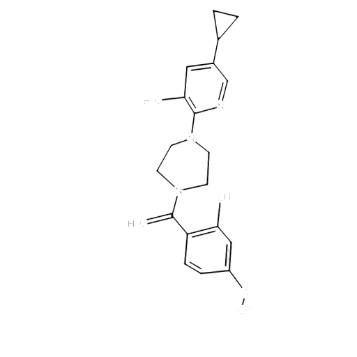 C=C(c1ccc(SC)cc1C)N1CCN(c2ncc(C3CC3)cc2C)CC1